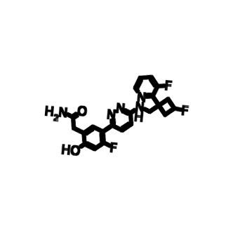 NC(=O)Cc1cc(-c2ccc(NCC3(c4ncccc4F)CC(F)C3)nn2)c(F)cc1O